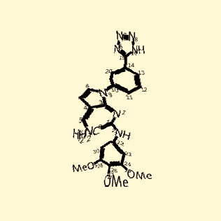 C=C(/N=C1\C(=C/N)C=CN1c1cccc(-c2nnn[nH]2)c1)Nc1cc(OC)c(OC)c(OC)c1